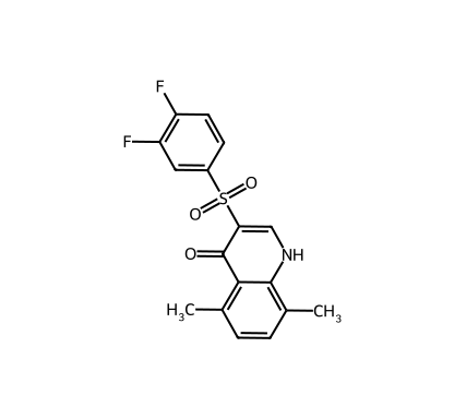 Cc1ccc(C)c2c(=O)c(S(=O)(=O)c3ccc(F)c(F)c3)c[nH]c12